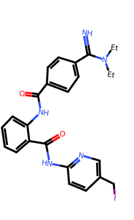 CCN(CC)C(=N)c1ccc(C(=O)Nc2ccccc2C(=O)Nc2ccc(CI)cn2)cc1